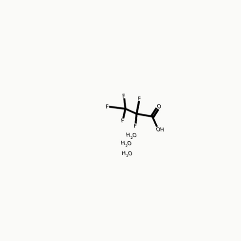 O.O.O.O=C(O)C(F)(F)C(F)(F)F